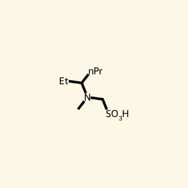 CCCC(CC)N(C)CS(=O)(=O)O